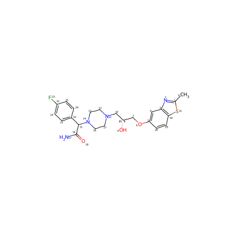 Cc1nc2cc(OC[C@H](O)CN3CCN(C(C(N)=O)c4ccc(F)cc4)CC3)ccc2s1